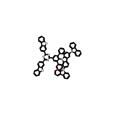 c1ccc(-c2cc(-c3nc(-c4ccc5c(c4)oc4ccccc45)nc(-c4ccc5c(c4)oc4ccccc45)n3)cc(-c3ccccc3)c2-n2c3ccc(-n4c5ccccc5c5ccccc54)cc3c3ccc(-n4c5ccccc5c5ccccc54)cc32)cc1